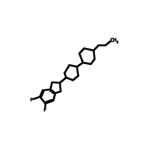 CCCC1CCC(C2CCC(C3Cc4cc(F)c(F)cc4C3)CC2)CC1